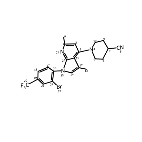 Cc1cc(N2CCC(C#N)CC2)c2c(C)cn(-c3ccc(C(F)(F)F)cc3Br)c2n1